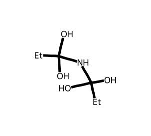 CCC(O)(O)NC(O)(O)CC